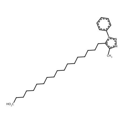 Cc1nnn(-c2ccccc2)c1CCCCCCCCCCCCCCCCCC(=O)O